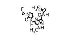 CNc1cc(Nc2cccn([C@@H]3C[C@H]3F)c2=O)nc2c(C(=O)N[C@H]3CC[C@@H]3OC)cnn12